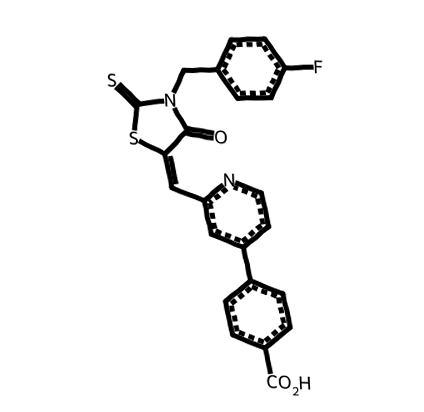 O=C(O)c1ccc(-c2ccnc(C=C3SC(=S)N(Cc4ccc(F)cc4)C3=O)c2)cc1